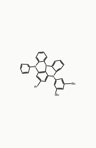 CC(C)c1cc2c3c(c1)N(c1cc(C(C)(C)C)cc(C(C)(C)C)c1)c1ccccc1B3c1ccccc1N2c1ccccc1